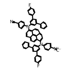 [C-]#[N+]c1ccc(N(c2cc(-c3ccccc3)cc(-c3ccc(F)cc3)c2)c2ccc3ccc4c(N(c5ccc(C#N)cc5)c5cc(-c6ccccc6)cc(-c6ccc(F)cc6)c5)ccc5ccc2c3c54)cc1